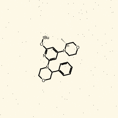 C[C@@H]1COCCN1c1cc(OC(C)(C)C)nc(N2CCOCC2c2ccccc2)c1